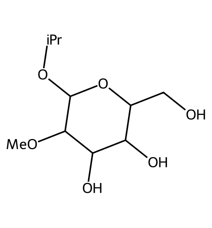 COC1C(OC(C)C)OC(CO)C(O)C1O